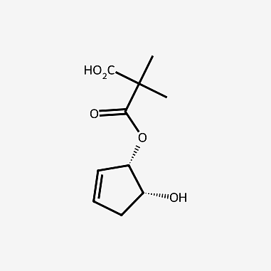 CC(C)(C(=O)O)C(=O)O[C@H]1C=CC[C@H]1O